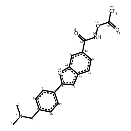 CN(C)Cc1ccc(-c2cc3ccc(C(=O)NOC(=O)C(F)(F)F)cc3o2)cc1